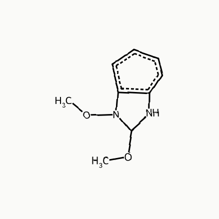 COC1Nc2ccccc2N1OC